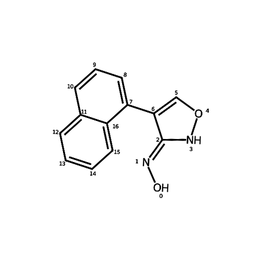 ON=c1[nH]occ1-c1cccc2ccccc12